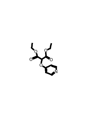 CCOC(=O)C(Oc1ccncc1)C(=O)OCC